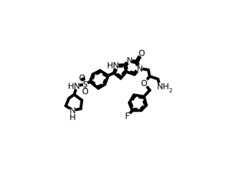 NCC(Cn1cc2cc(-c3ccc(S(=O)(=O)NC4CCNCC4)cc3)[nH]c2nc1=O)OCc1ccc(F)cc1